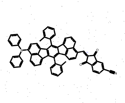 Cc1ccccc1-c1c2c3ccc(/C=C4\C(=O)c5ccc(C#N)cc5C4=O)c4cccc(c2c(-c2ccccc2C)c2c5ccc(N(c6ccccc6)c6ccccc6)c6cccc(c12)c65)c43